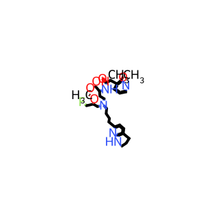 COc1ncccc1C(C)C(=O)NC(CCN(CCCCc1ccc2c(n1)NCCC2)CC(CF)OC)C(=O)O